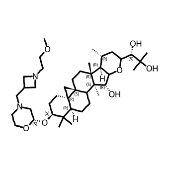 COCCN1CC(CN2CCO[C@@H](O[C@H]3CC[C@]45C[C@]46CC[C@]4(C)[C@@H]7C(OC([C@H](O)C(C)(C)O)C[C@H]7C)[C@H](O)[C@@]4(C)C6CC[C@H]5C3(C)C)C2)C1